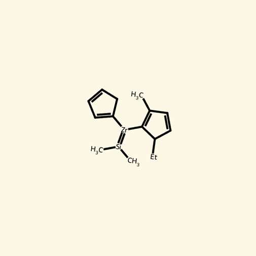 CCC1C=CC(C)=[C]1[Zr]([C]1=CC=CC1)=[Si](C)C